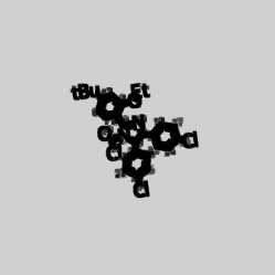 CCOc1cc(C(C)(C)C)ccc1C1=NC(c2ccc(Cl)cc2)C(c2ccc(Cl)cc2)N1C(=O)Cl